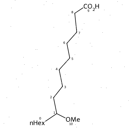 CCCCCCC(CCCCCCCC(=O)O)OC